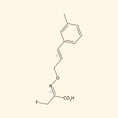 Cc1cccc(/C=C/CO/N=C(/CF)C(=O)O)c1